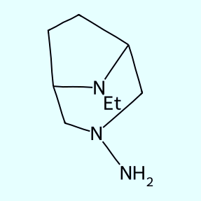 CCN1C2CCC1CN(N)C2